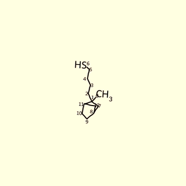 CC1(CCCCS)CC2CCC1C2